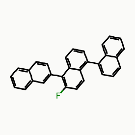 Fc1ccc2c(-c3cccc4ccccc34)cccc2c1-c1ccc2ccccc2c1